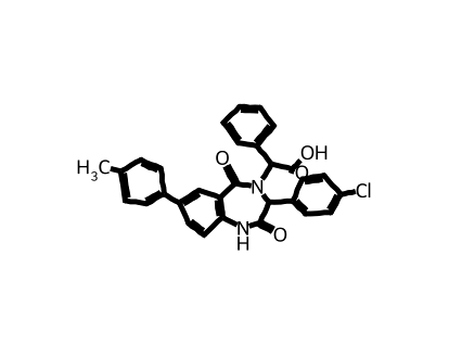 Cc1ccc(-c2ccc3c(c2)C(=O)N(C(C(=O)O)c2ccccc2)C(c2ccc(Cl)cc2)C(=O)N3)cc1